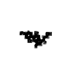 CCc1nc(C(C)C)ccc1-c1nc2c(C)cn([C@@H](C)CCO)c2nc1CC